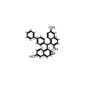 Oc1ccc2c(C(c3ccc(-c4ccccc4)cc3)c3c4c(cc5cc(O)ccc35)O4)c(O)ccc2c1